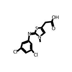 Cn1cc(CC(=O)O)s/c1=N/c1cc(Cl)cc(Cl)c1